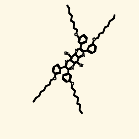 CCCCCCCCOc1cccc(-c2nc3c(Br)c4nc(-c5cccc(OCCCCCCCC)c5)c(-c5cccc(OCCCCCCCC)c5)nc4c(Br)c3nc2-c2cccc(OCCCCCCCC)c2)c1